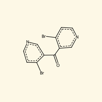 O=C(c1cnccc1Br)c1cnccc1Br